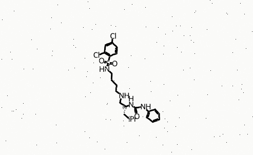 CC(C)C[C@H](CNCCCCNS(=O)(=O)c1ccc(Cl)cc1Cl)NC(=O)Nc1ccccc1